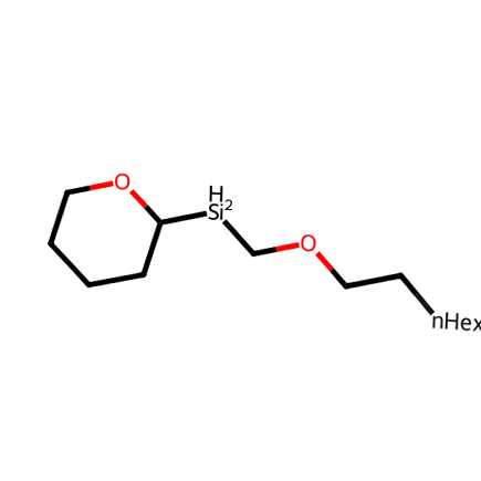 CCCCCCCCOC[SiH2]C1CCCCO1